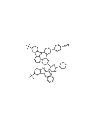 CC(C)(C)c1ccc2c(c1)c1ccccc1n2-c1ccc(-c2ccc(C#N)cc2)cc1-c1ccc(-n2c3ccccc3c3cc(C(C)(C)C)ccc32)c(-c2nc(-c3ccccc3)nc(-c3ccccc3)n2)c1